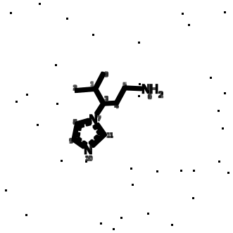 CC(C)C(CCN)n1ccnc1